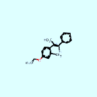 CC/C(=C(/C(=O)O)c1ccc(OCOC)cc1C)c1ccccc1